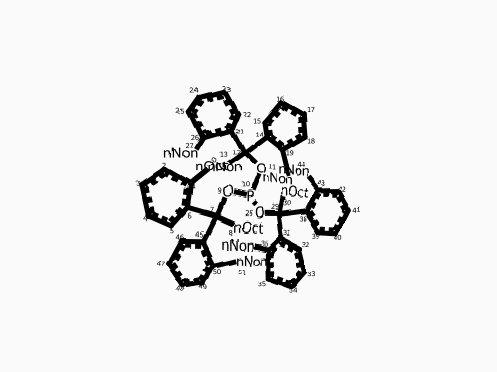 CCCCCCCCCc1ccccc1C(CCCCCCCC)(OP(OC(CCCCCCCC)(c1ccccc1CCCCCCCCC)c1ccccc1CCCCCCCCC)OC(CCCCCCCC)(c1ccccc1CCCCCCCCC)c1ccccc1CCCCCCCCC)c1ccccc1CCCCCCCCC